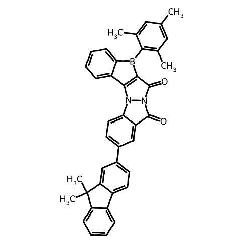 Cc1cc(C)c(B2c3ccccc3-c3c2c(=O)n2c(=O)c4cc(-c5ccc6c(c5)C(C)(C)c5ccccc5-6)ccc4n32)c(C)c1